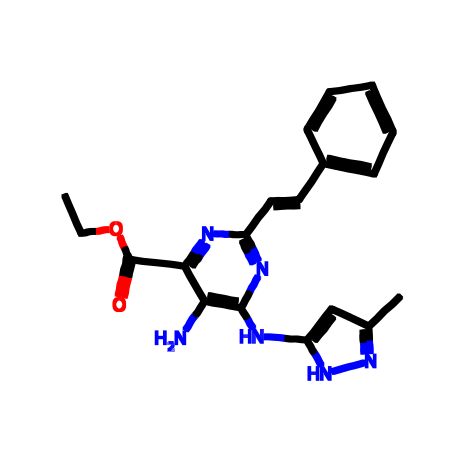 CCOC(=O)c1nc(C=Cc2ccccc2)nc(Nc2cc(C)n[nH]2)c1N